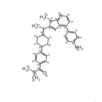 CC(c1cc2c(-c3ccc(N)nc3)ccnc2n1C)N1CCC(c2ccc(C(=O)N(C)C)cc2)CC1